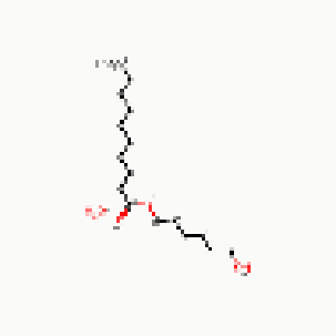 O.O=C(O)CCCCCCCCC(=O)OCCCCCCO